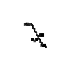 CCCCCCCCCCCCCCC[C@@H](O)[C@@H](N)CCCN